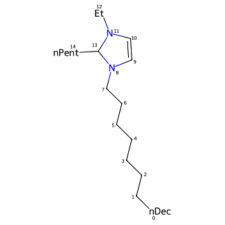 CCCCCCCCCCCCCCCCCN1C=CN(CC)C1CCCCC